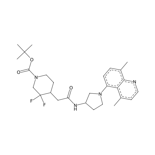 Cc1ccc(N2CCC(NC(=O)CC3CCN(C(=O)OC(C)(C)C)CC3(F)F)C2)c2c(C)ccnc12